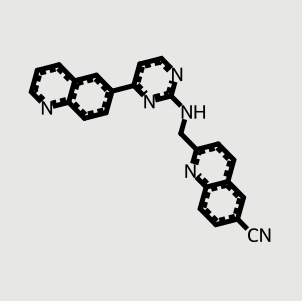 N#Cc1ccc2nc(CNc3nccc(-c4ccc5ncccc5c4)n3)ccc2c1